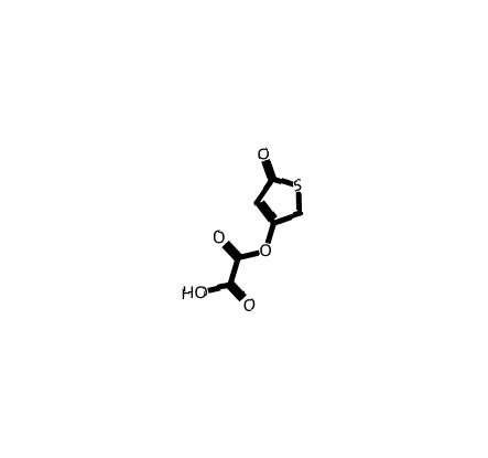 O=C1C=C(OC(=O)C(=O)O)CS1